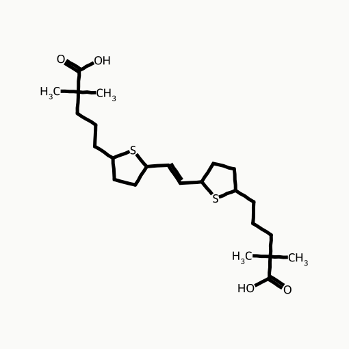 CC(C)(CCCC1CCC(/C=C/C2CCC(CCCC(C)(C)C(=O)O)S2)S1)C(=O)O